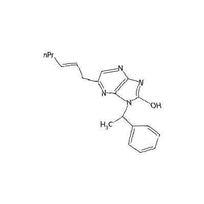 CCCC=CCc1cnc2nc(O)n(C(C)c3ccccc3)c2n1